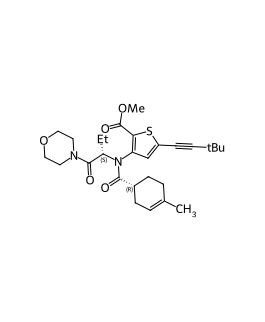 CC[C@@H](C(=O)N1CCOCC1)N(C(=O)[C@H]1CC=C(C)CC1)c1cc(C#CC(C)(C)C)sc1C(=O)OC